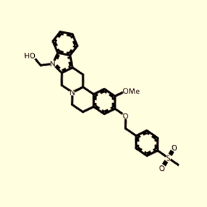 COc1cc2c(cc1OCc1ccc(S(C)(=O)=O)cc1)CCN1Cc3c(c4ccccc4n3CO)CC21